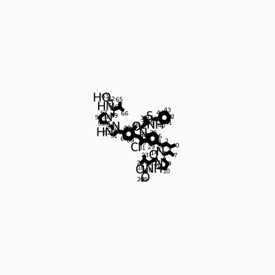 CC/C=C(\N=C(/CC)[C@@H]1CCCN1C(=O)[C@H](NC(=O)OC)C(C)C)c1ccc2c(c1)c(Cl)c1n2C(C2=CSC(c3ccccc3)N2)Oc2cc(-c3c[nH]c([C@@H]4CCCN4C[C@@H](NCO)C(C)C)n3)ccc2-1